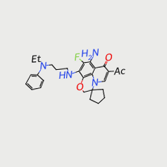 CCN(CCCNc1c(F)c(N)c2c(=O)c(C(C)=O)cn3c2c1OCC31CCCC1)c1ccccc1